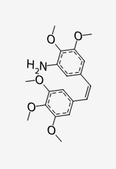 COc1cc(/C=C\c2cc(OC)c(OC)c(OC)c2)cc(N)c1OC